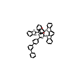 c1ccc(-c2cccc(-c3ccc(-c4nc(-c5ccccc5)nc(-n5c6ccccc6c6ccc7c8ccccc8n(-c8ccc(-c9nc%10ccccc%10s9)cc8)c7c65)n4)cc3)c2)cc1